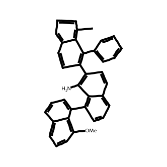 COc1cccc2cccc(-c3cccc4ccc(-c5ccc6cccc(C)c6c5-c5ccccc5)c(N)c34)c12